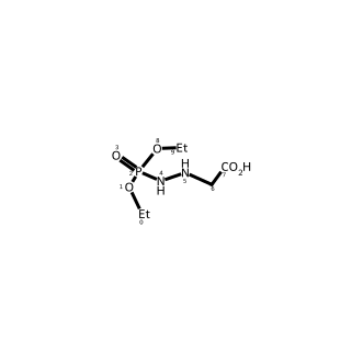 CCOP(=O)(NNCC(=O)O)OCC